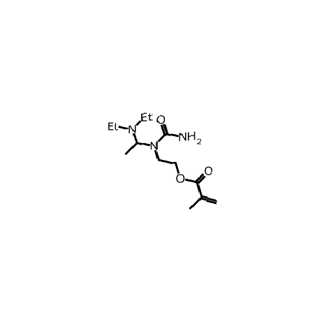 C=C(C)C(=O)OCCN(C(N)=O)C(C)N(CC)CC